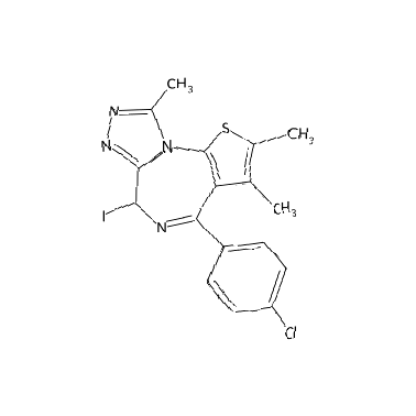 Cc1sc2c(c1C)C(c1ccc(Cl)cc1)=NC(I)c1nnc(C)n1-2